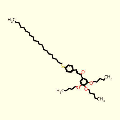 CCCCCCCCCCCCCCCCCCCCCSc1ccc(/C=C/C(=O)c2cc(OCCCCC)c(OCCCCC)c(OCCCCC)c2)cc1